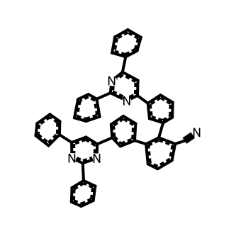 N#Cc1cccc(-c2cccc(-c3cc(-c4ccccc4)nc(-c4ccccc4)n3)c2)c1-c1cccc(-c2cc(-c3ccccc3)nc(-c3ccccc3)n2)c1